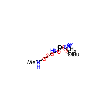 CSNCCCOCCOCCOCCNC(=O)c1cccc(OCC(C)(N=[N+]=[N-])OCCOCC(C)C)c1